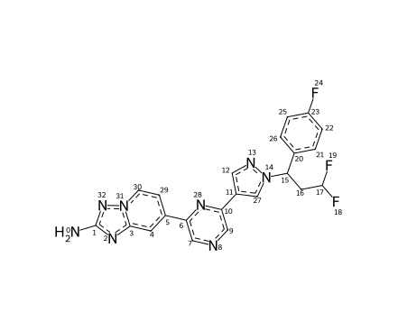 Nc1nc2cc(-c3cncc(-c4cnn(C(CC(F)F)c5ccc(F)cc5)c4)n3)ccn2n1